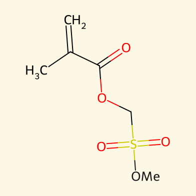 C=C(C)C(=O)OCS(=O)(=O)OC